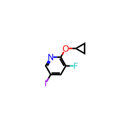 Fc1cc(I)cnc1OC1CC1